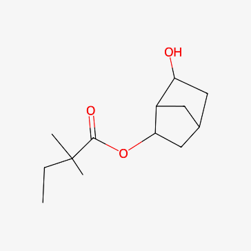 CCC(C)(C)C(=O)OC1CC2CC(O)C1C2